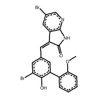 COc1ccccc1-c1cc(C=C2C(=O)Nc3ncc(Br)cc32)cc(Br)c1O